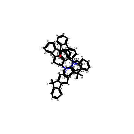 CC1(C)c2ccccc2-c2ccc(N(c3ccc4c(c3)C3(c5ccccc5-4)c4ccccc4-c4ccc(N5c6ccccc6C(C)(C)c6ccccc65)cc43)c3ccccc3-c3ccccc3)cc21